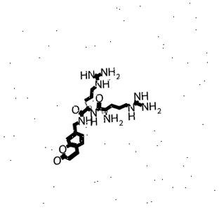 N=C(N)NCCC[C@H](NC(=O)[C@@H](N)CCCNC(=N)N)C(=O)NCc1ccc2ccc(=O)oc2c1